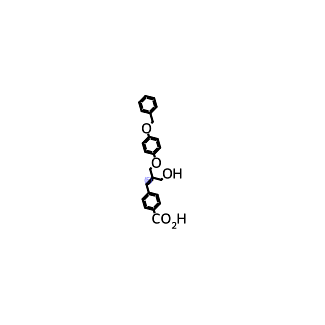 O=C(O)c1ccc(/C=C(\CO)COc2ccc(OCc3ccccc3)cc2)cc1